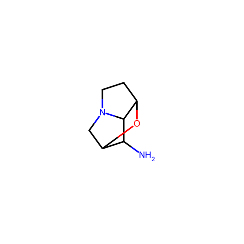 NC1C2CN3CCC(O2)C13